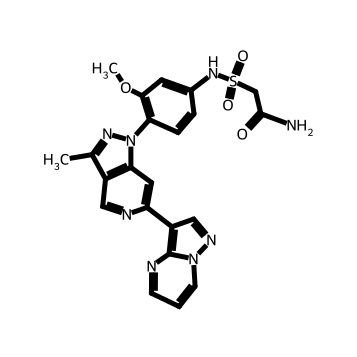 COc1cc(NS(=O)(=O)CC(N)=O)ccc1-n1nc(C)c2cnc(-c3cnn4cccnc34)cc21